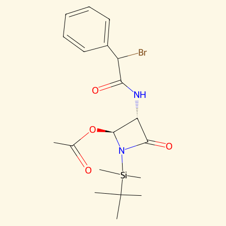 CC(=O)O[C@H]1[C@H](NC(=O)C(Br)c2ccccc2)C(=O)N1[Si](C)(C)C(C)(C)C